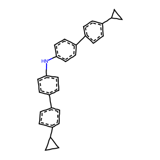 c1cc(-c2ccc(C3CC3)cc2)ccc1Nc1ccc(-c2ccc(C3CC3)cc2)cc1